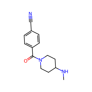 CNC1CCN(C(=O)c2ccc(C#N)cc2)CC1